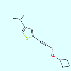 CC(C)c1csc(C#CCOC2CCC2)c1